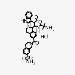 CC(C)(N)C(=O)NC(C(C=O)c1c[nH]c2ccccc12)C1NCCc2cc(C(=O)N3CCc4ccc(S(N)(=O)=O)cc4C3)ccc21.Cl